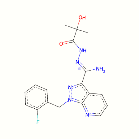 CC(C)(O)C(=O)N/N=C(\N)c1nn(Cc2ccccc2F)c2ncccc12